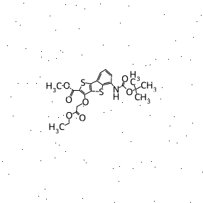 CCOC(=O)COc1c(C(=O)OC)sc2c1sc1c(NC(=O)OC(C)(C)C)cccc12